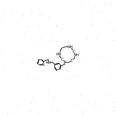 c1ccc(CNCc2cccc(CN3CCCNCCNCCCNCC3)c2)nc1